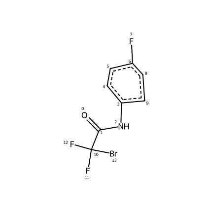 O=C(Nc1ccc(F)cc1)C(F)(F)Br